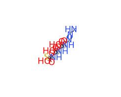 CNCCN1CCN(CC(=O)N[C@@H](CC(=O)N[C@@H](CC(=O)N[C@@H](CSC)C(=O)O)C(=O)O)C(=O)O)CC1